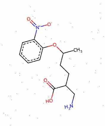 CC(CCC(CN)C(=O)O)Oc1ccccc1[N+](=O)[O-]